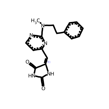 CN(CCc1ccccc1)c1nccc(/C=C2/NC(=O)NC2=O)n1